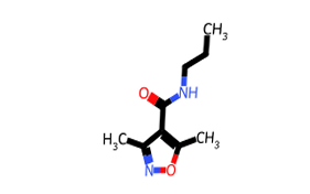 CCCNC(=O)c1c(C)noc1C